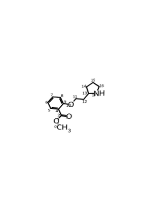 COC(=O)c1ccccc1OCCC1CCCN1